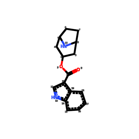 O=C(OC1CC2CCC(C1)N2)c1c[nH]c2ccccc12